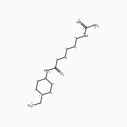 CCN1CCC(NC(=O)CCCCCNC(=N)N)CC1